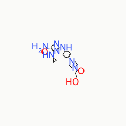 NC(=O)c1cnc(Nc2ccc(N3CCN(C(=O)CCO)CC3)cc2)nc1NC1CC1